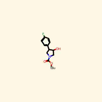 CC(C)(C)OC(=O)N1CC(O)C(c2ccc(F)cc2)C1